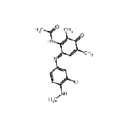 CNc1ccc(N=C2C=C(C)C(=O)C(C)=C2NC(C)=O)cc1Cl